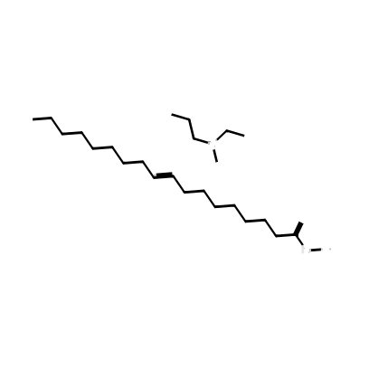 CCCCCCCCC=CCCCCCCCC(=O)NO.CCCN(C)CC